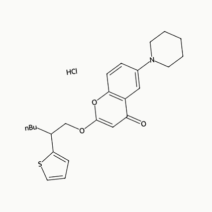 CCCCC(COc1cc(=O)c2cc(N3CCCCC3)ccc2o1)c1cccs1.Cl